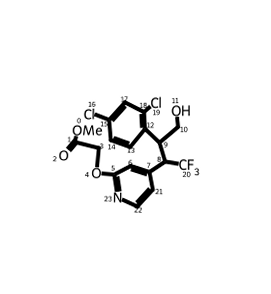 COC(=O)COc1cc(C(C(CO)c2ccc(Cl)cc2Cl)C(F)(F)F)ccn1